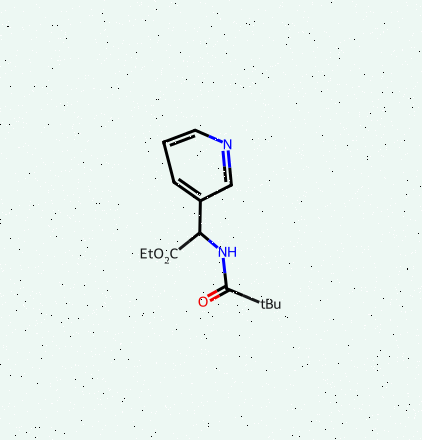 CCOC(=O)C(NC(=O)C(C)(C)C)c1cccnc1